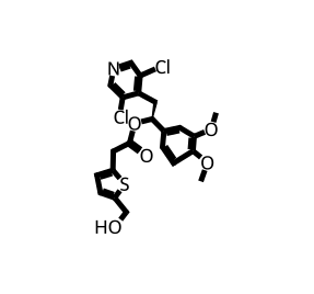 COc1ccc([C@H](Cc2c(Cl)cncc2Cl)OC(=O)Cc2ccc(CO)s2)cc1OC